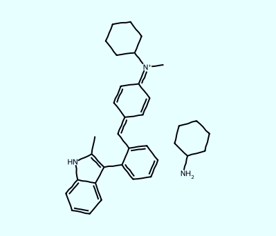 Cc1[nH]c2ccccc2c1-c1ccccc1C=C1C=CC(=[N+](C)C2CCCCC2)C=C1.NC1CCCCC1